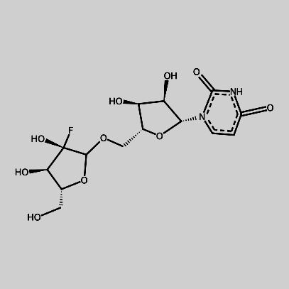 O=c1ccn([C@@H]2O[C@H](COC3O[C@H](CO)[C@@H](O)[C@]3(O)F)[C@@H](O)[C@H]2O)c(=O)[nH]1